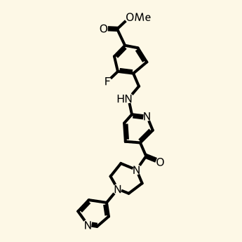 COC(=O)c1ccc(CNc2ccc(C(=O)N3CCN(c4ccncc4)CC3)cn2)c(F)c1